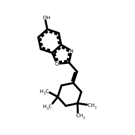 CC1(C)CC(=Cc2nc3cc(O)ccc3o2)CC(C)(C)C1